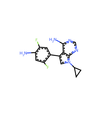 Nc1cc(F)c(-c2cn(C3CC3)c3ncnc(N)c23)cc1F